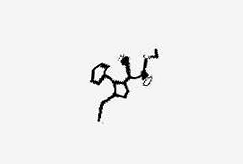 [CH2]CC1C[CH]C(C(C#N)C(=O)OCC)C1c1ccccc1